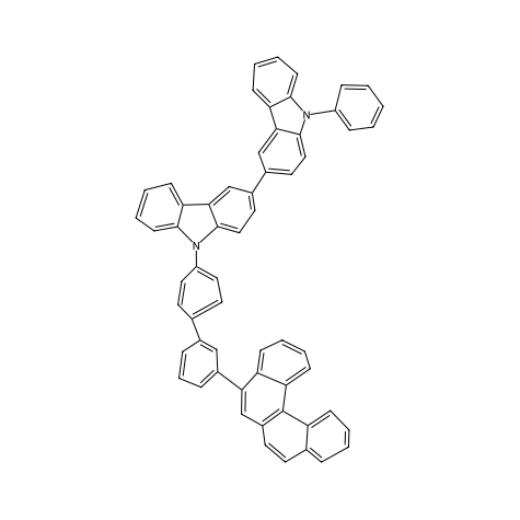 c1ccc(-n2c3ccccc3c3cc(-c4ccc5c(c4)c4ccccc4n5-c4ccc(-c5cccc(-c6cc7ccc8ccccc8c7c7ccccc67)c5)cc4)ccc32)cc1